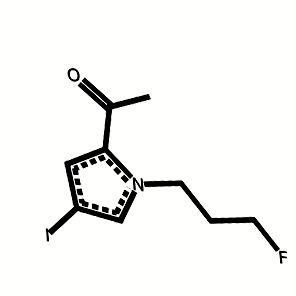 CC(=O)c1cc(I)cn1CCCF